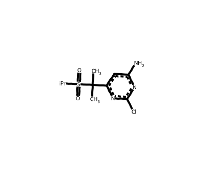 CC(C)S(=O)(=O)C(C)(C)c1cc(N)nc(Cl)n1